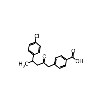 CC(CC(=O)Cc1ccc(C(=O)O)cc1)c1ccc(Cl)cc1